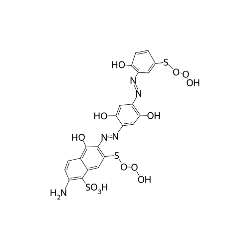 Nc1ccc2c(O)c(N=Nc3cc(O)c(N=Nc4cc(SOOO)ccc4O)cc3O)c(SOOO)cc2c1S(=O)(=O)O